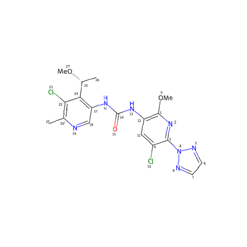 COc1nc(-n2nccn2)c(Cl)cc1NC(=O)Nc1cnc(C)c(Cl)c1[C@@H](C)OC